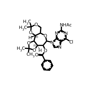 CC(=O)Nc1nc(Cl)c2ncn(C3OC4COC(C)(C)O[C@H]4C4OC(C)(C)O[C@@H]4C3OC(=O)c3ccccc3)c2n1